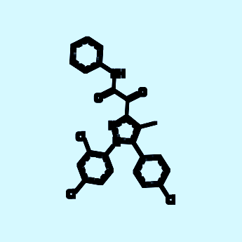 Cc1c(C(=O)C(=O)Nc2ccccc2)nn(-c2ccc(Cl)cc2Cl)c1-c1ccc(Cl)cc1